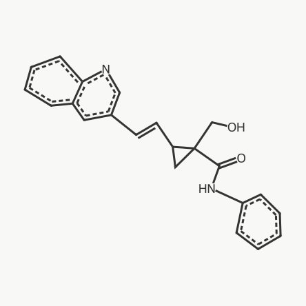 O=C(Nc1ccccc1)C1(CO)CC1/C=C/c1cnc2ccccc2c1